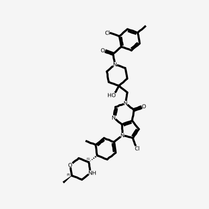 CC1=CC(n2c(Cl)cc3c(=O)n(CC4(O)CCN(C(=O)c5ccc(C)cc5Cl)CC4)cnc32)=CCC1[C@H]1CO[C@H](C)CN1